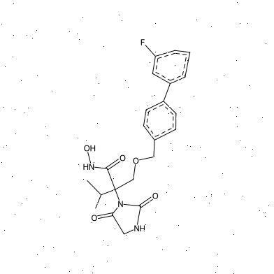 CC(C)C(COCc1ccc(-c2cccc(F)c2)cc1)(C(=O)NO)N1C(=O)CNC1=O